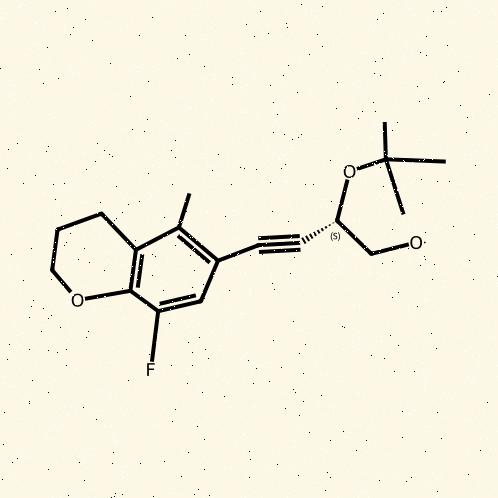 Cc1c(C#C[C@@H](C[O])OC(C)(C)C)cc(F)c2c1CCCO2